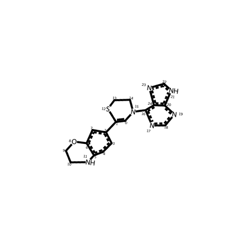 C1=C(c2ccc3c(c2)OCCN3)SCCN1c1ncnc2[nH]cnc12